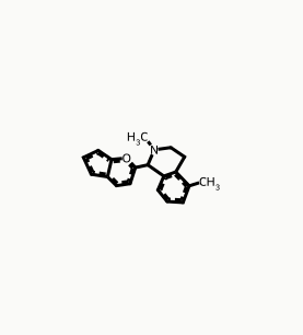 Cc1cccc2c1CCN(C)C2c1ccc2cccc-2o1